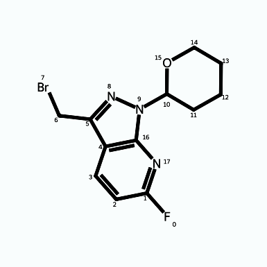 Fc1ccc2c(CBr)nn(C3CCCCO3)c2n1